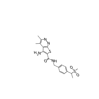 Cc1nnc2sc(C(=O)NCc3ccc(C(C)S(C)(=O)=O)cc3)c(N)c2c1C